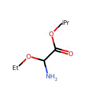 CCOC(N)C(=O)OC(C)C